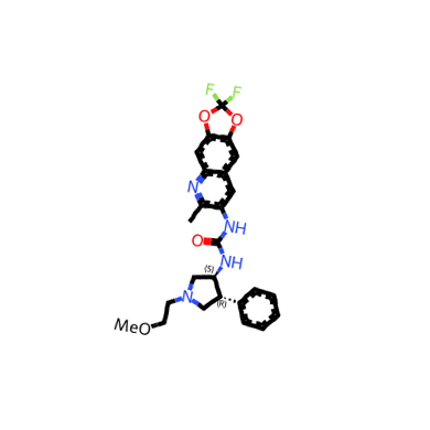 COCCN1C[C@@H](NC(=O)Nc2cc3cc4c(cc3nc2C)OC(F)(F)O4)[C@H](c2ccccc2)C1